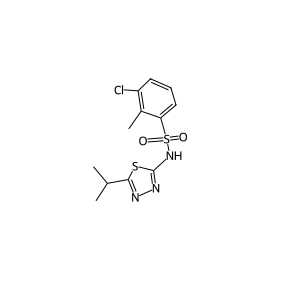 Cc1c(Cl)cccc1S(=O)(=O)Nc1nnc(C(C)C)s1